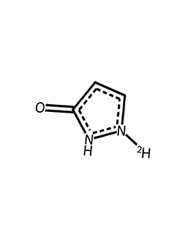 [2H]n1ccc(=O)[nH]1